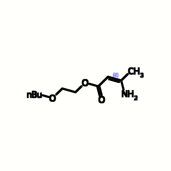 CCCCOCCOC(=O)/C=C(/C)N